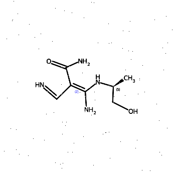 C[C@@H](CO)N/C(N)=C(/C=N)C(N)=O